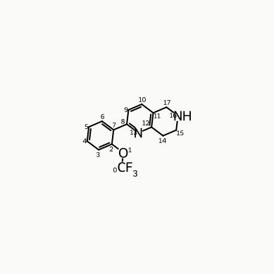 FC(F)(F)Oc1ccccc1-c1ccc2c(n1)CCNC2